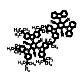 CC(C)(C)c1ccc2c(c1)c1cc(C(C)(C)C)ccc1n2-c1c(C#N)c(-n2c3ccc(C(C)(C)C)cc3c3cc(C(C)(C)C)ccc32)c(C#N)c(-n2c3ccc(C(C)(C)C)cc3c3cc(C(C)(C)Cc4ccc5c(c4)c4ccccc4n5-c4c(C#N)c(-n5c6ccccc6c6ccccc65)c(C#N)c(-n5c6ccccc6c6ccccc65)c4C#N)ccc32)c1C#N